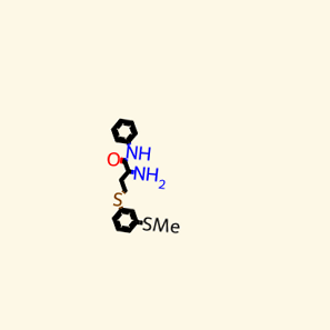 CSc1cccc(SCCC(N)C(=O)Nc2ccccc2)c1